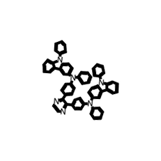 c1ccc(N(c2ccc(-c3nccnc3-c3ccc(N(c4ccccc4)c4ccc5c(c4)c4ccccc4n5-c4ccccc4)cc3)cc2)c2ccc3c(c2)c2ccccc2n3-c2ccccc2)cc1